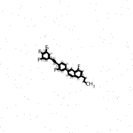 CCCc1cc(F)c2cc(-c3ccc(C#Cc4cc(F)c(F)c(F)c4)c(F)c3)ccc2c1